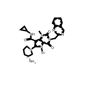 CCn1c(N2CCC[C@@H](N)C2)c(C(=O)NC2CC2)c2c1c(=O)n(Cc1ncc3ccccc3n1)c(=O)n2C